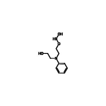 OBOCCN(CCO)c1ccccc1